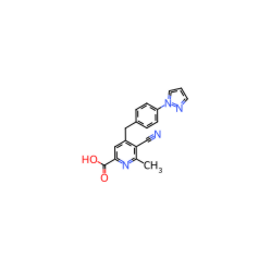 Cc1nc(C(=O)O)cc(Cc2ccc(-n3cccn3)cc2)c1C#N